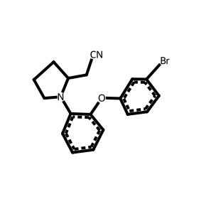 N#CCC1CCCN1c1ccccc1Oc1cccc(Br)c1